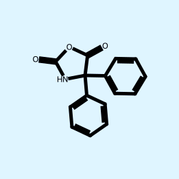 O=C1NC(c2ccccc2)(c2ccccc2)C(=O)O1